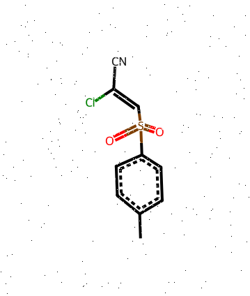 Cc1ccc(S(=O)(=O)C=C(Cl)C#N)cc1